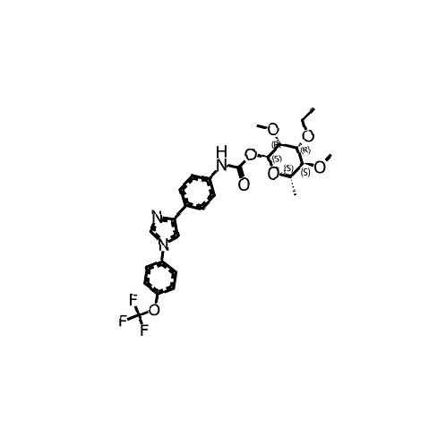 CCO[C@@H]1[C@@H](OC)[C@H](C)O[C@@H](OC(=O)Nc2ccc(-c3cn(-c4ccc(OC(F)(F)F)cc4)cn3)cc2)[C@@H]1OC